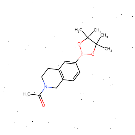 CC(=O)N1CCc2cc(B3OC(C)(C)C(C)(C)O3)ccc2C1